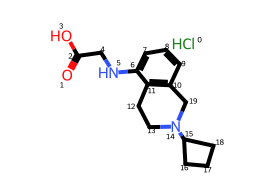 Cl.O=C(O)CNc1cccc2c1CCN(C1CCC1)C2